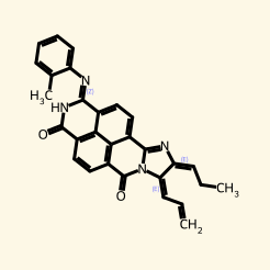 C=C/C=c1\c(=C/CC)nc2c3ccc4c5c(ccc(c(=O)n12)c53)C(=O)N/C4=N\c1ccccc1C